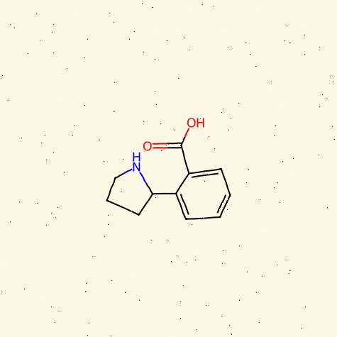 O=C(O)c1ccccc1C1CCCN1